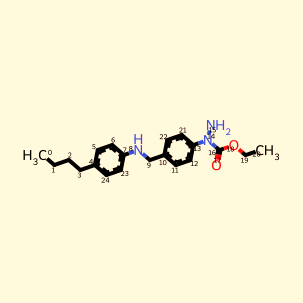 CCCCc1ccc(NCc2ccc(N(N)C(=O)OCC)cc2)cc1